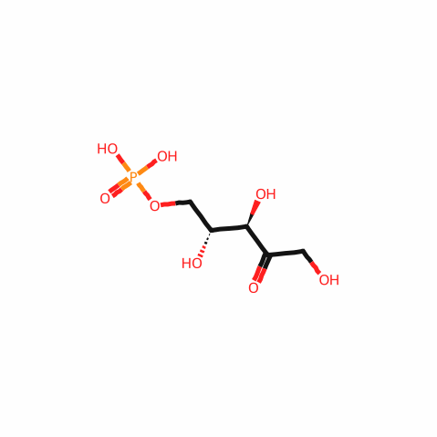 O=C(CO)[C@H](O)[C@H](O)COP(=O)(O)O